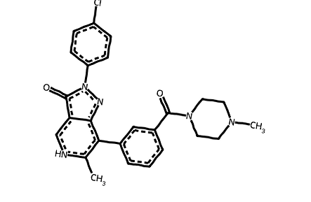 Cc1[nH]cc2c(=O)n(-c3ccc(Cl)cc3)nc-2c1-c1cccc(C(=O)N2CCN(C)CC2)c1